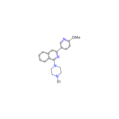 CCN1CCN(c2nc(-c3ccc(OC)nc3)cc3ccccc23)CC1